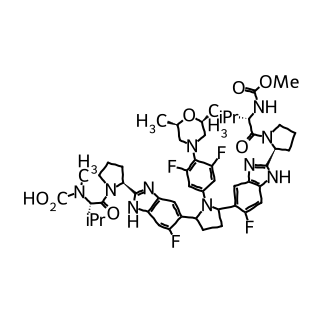 COC(=O)N[C@H](C(=O)N1CCC[C@H]1c1nc2cc(C3CCC(c4cc5nc([C@@H]6CCCN6C(=O)[C@H](C(C)C)N(C)C(=O)O)[nH]c5cc4F)N3c3cc(F)c(N4C[C@@H](C)O[C@@H](C)C4)c(F)c3)c(F)cc2[nH]1)C(C)C